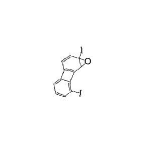 Ic1cccc2c1C1=C2C=CC2(I)OC12